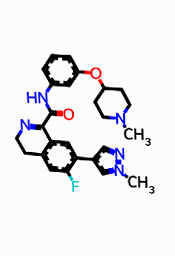 CN1CCC(Oc2cccc(NC(=O)C3=NCCc4cc(F)c(-c5cnn(C)c5)cc43)c2)CC1